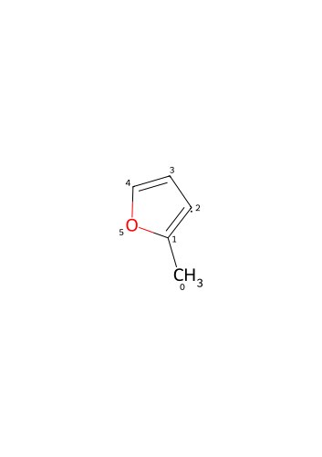 Cc1[c]cco1